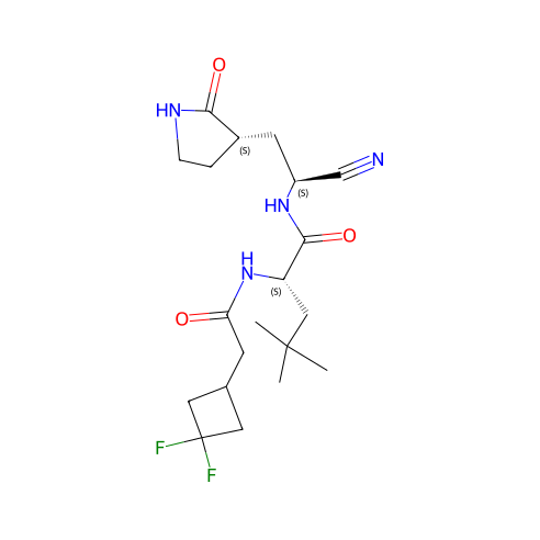 CC(C)(C)C[C@H](NC(=O)CC1CC(F)(F)C1)C(=O)N[C@H](C#N)C[C@@H]1CCNC1=O